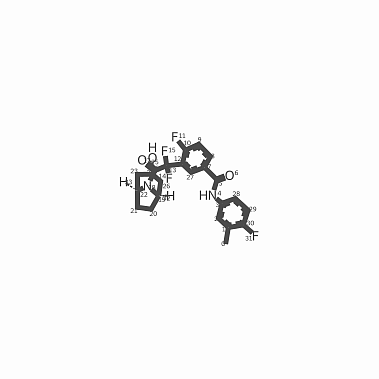 Cc1cc(NC(=O)c2ccc(F)c(C(F)(F)C(=O)N3[C@@H]4CC[C@H]3C[C@H](O)C4)c2)ccc1F